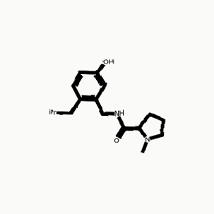 CC(C)Cc1ccc(O)cc1CNC(=O)C1CCCN1C